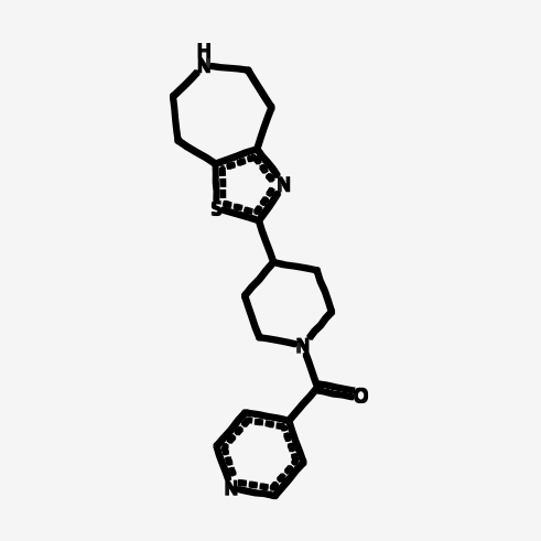 O=C(c1ccncc1)N1CCC(c2nc3c(s2)CCNCC3)CC1